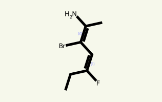 CC/C(F)=C\C(Br)=C(/C)N